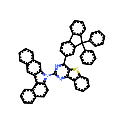 c1ccc(C2(c3ccccc3)c3ccccc3-c3ccc(-c4nc(-n5c6cc7ccccc7cc6c6c7ccccc7ccc65)nc5c4sc4ccccc45)cc32)cc1